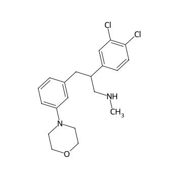 CNCC(Cc1cccc(N2CCOCC2)c1)c1ccc(Cl)c(Cl)c1